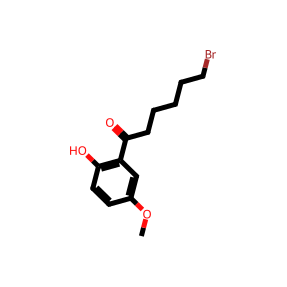 COc1ccc(O)c(C(=O)CCCCCBr)c1